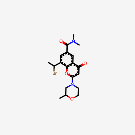 CC1CN(c2cc(=O)c3cc(C(=O)N(C)C)cc(C(C)Br)c3o2)CCO1